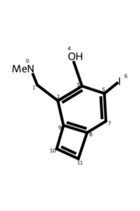 CNCc1c(O)c(I)cc2c1C=C2